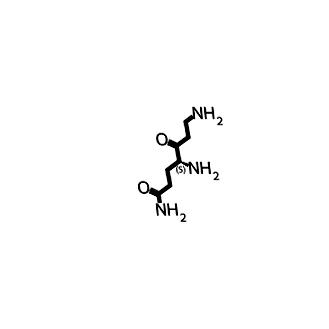 NCCC(=O)[C@@H](N)CCC(N)=O